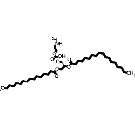 [2H]NCCOP(=O)(O)OC[C@@H](COC(=O)CCCCCCCCCCCCCCC)OC(=O)CCCCCCC/C=C\CCCCCCCC